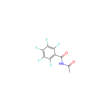 CC(=O)NC(=O)c1c(F)c(F)c(F)c(F)c1F